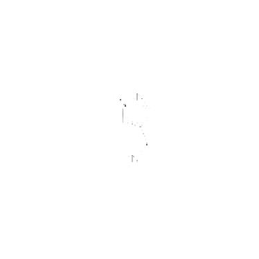 Cn1cc(CN)cn1